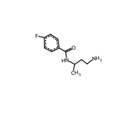 CC(CCN)NC(=O)c1ccc(F)cc1